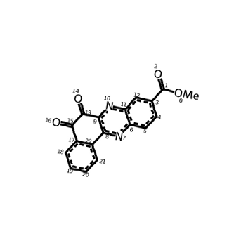 COC(=O)c1ccc2nc3c(nc2c1)C(=O)C(=O)c1ccccc1-3